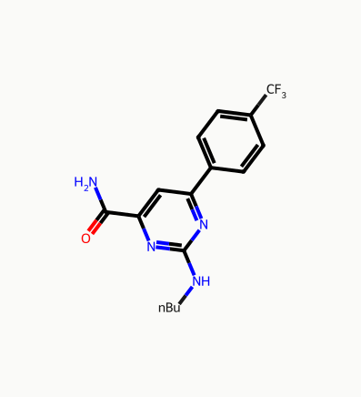 CCCCNc1nc(C(N)=O)cc(-c2ccc(C(F)(F)F)cc2)n1